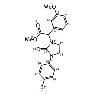 COC(=O)C(c1cccc(OC)c1)N1CCN(c2ccc(Br)cc2)C1=O